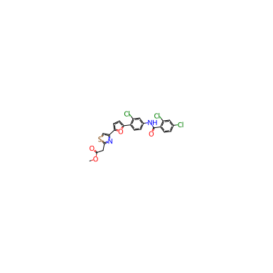 COC(=O)Cc1nc(-c2ccc(-c3ccc(NC(=O)c4ccc(Cl)cc4Cl)cc3Cl)o2)cs1